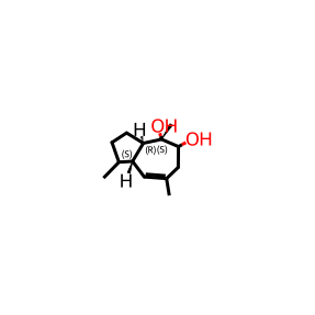 CC1=C[C@@H]2C(C)CC[C@H]2[C@](C)(O)C(O)C1